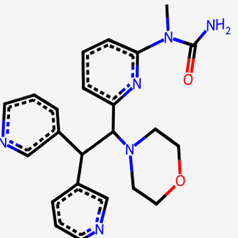 CN(C(N)=O)c1cccc(C(C(c2cccnc2)c2cccnc2)N2CCOCC2)n1